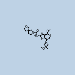 COc1ncc(N2CC(C)(OC)C2)c2sc(NC(=O)N3CCC4(CCOC4)C3)nc12